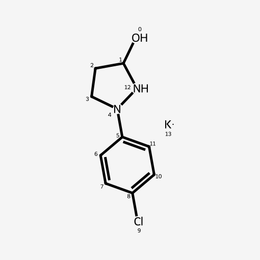 OC1CCN(c2ccc(Cl)cc2)N1.[K]